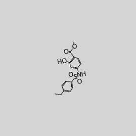 CCc1ccc(S(=O)(=O)Nc2ccc(C(=O)OC)c(O)c2)cc1